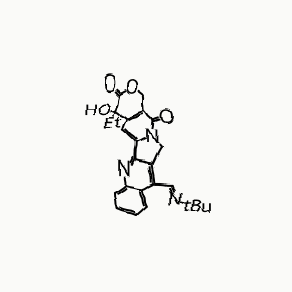 CC[C@@]1(O)C(=O)OCc2c1cc1n(c2=O)Cc2c-1nc1ccccc1c2C=NC(C)(C)C